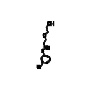 OCCOCCNSc1cccc(Br)c1